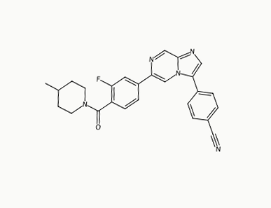 CC1CCN(C(=O)c2ccc(-c3cn4c(-c5ccc(C#N)cc5)cnc4cn3)cc2F)CC1